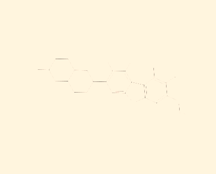 CCCOc1cc2oc3cc(C4CCC5CC(CCC)CCC5C4)c(F)c(F)c3c2c(F)c1F